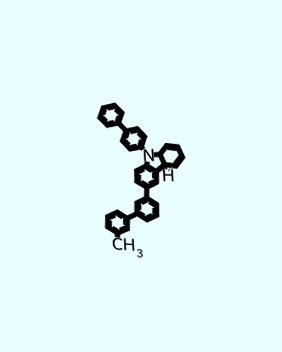 Cc1cccc(-c2cccc(-c3ccc4c(c3)[C@H]3C=CC=CC3N4c3ccc(-c4ccccc4)cc3)c2)c1